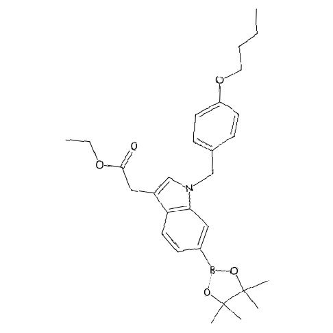 CCCCOc1ccc(Cn2cc(CC(=O)OCC)c3ccc(B4OC(C)(C)C(C)(C)O4)cc32)cc1